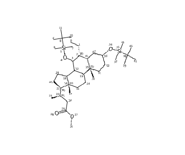 CC[C@H]1C(O[Si](C)(C)C(C)(C)C)C2C(CC[C@@]3(C)C2CC[C@@H]3[C@H](C)CC(=O)OC)[C@@]2(C)CCC(O[Si](C)(C)C(C)(C)C)CC12